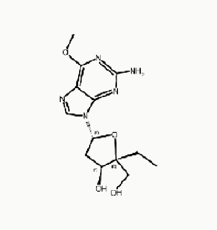 CC[C@]1(CO)O[C@@H](n2cnc3c(OC)nc(N)nc32)C[C@@H]1O